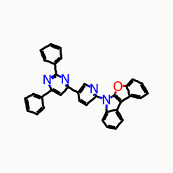 c1ccc(-c2cc(-c3ccc(-n4c5ccccc5c5c6ccccc6oc54)nc3)nc(-c3ccccc3)n2)cc1